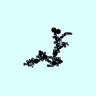 C=C1CC2[C@H](O)N(C(=O)OCc3ccc(NC(=O)[C@H](CCCNC(N)=O)NC(=O)CNC(=O)[C@H](CCC(=O)OCC4c5ccccc5-c5ccccc54)NC(=O)OCCOCCOC)cc3)c3cc(OCCCOc4cc5c(cc4OC)C(=O)N4CC(C)C[C@H]4[C@H](O)N5C(=O)OCc4ccc(NC(=O)[C@H](C)NC(=O)[C@@H](N)C(C)C)cc4)c(OC)cc3C(=O)N2C1